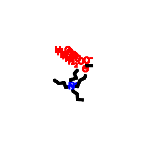 CC(=O)[O-].CCCC[N+](CCCC)(CCCC)CCCC.O.O.O.O.O.O